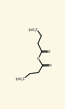 CCOC(=O)CCC(=O)OC(=O)CCC(=O)OCC